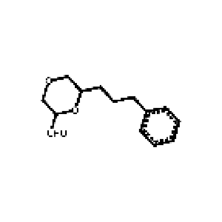 O=CC1COCC(CCCc2ccccc2)O1